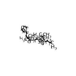 CCCCSP(=O)(OC(C)(C)C)SCCOC(=O)C(C)(C)CCN1CCOCC1